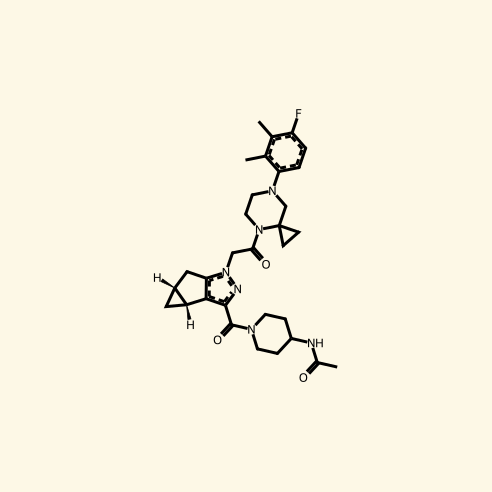 CC(=O)NC1CCN(C(=O)c2nn(CC(=O)N3CCN(c4ccc(F)c(C)c4C)CC34CC4)c3c2[C@@H]2C[C@@H]2C3)CC1